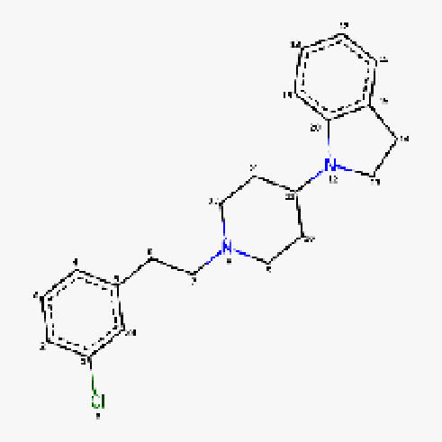 Clc1cccc(CCN2CCC(N3CCc4ccccc43)CC2)c1